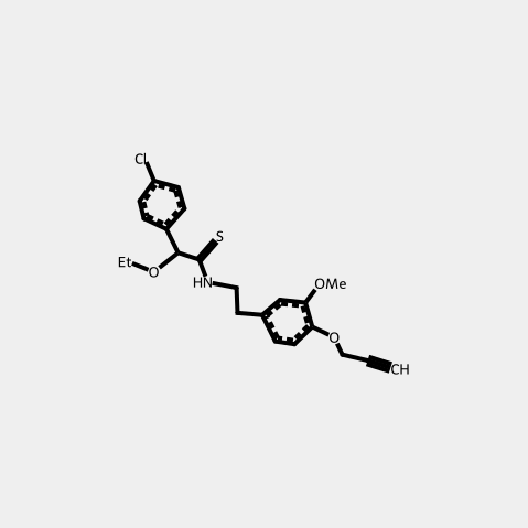 C#CCOc1ccc(CCNC(=S)C(OCC)c2ccc(Cl)cc2)cc1OC